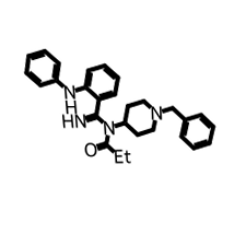 CCC(=O)N(C(=N)c1ccccc1Nc1ccccc1)C1CCN(Cc2ccccc2)CC1